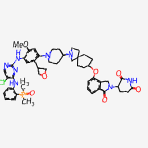 COc1cc(N2CCC(N3CCC4(CCC(Oc5cccc6c5CN(C5CCC(=O)NC5=O)C6=O)CC4)C3)CC2)c(C2COC2)cc1Nc1ncc(Cl)c(Nc2ccccc2P(C)(C)=O)n1